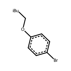 CCC(C)COc1ccc(Br)cc1